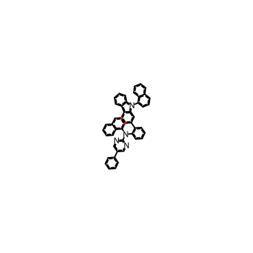 c1ccc(-c2cnc(N(c3ccccc3-c3ccc4c5ccccc5n(-c5cccc6ccccc56)c4c3)c3cccc4ccccc34)nc2)cc1